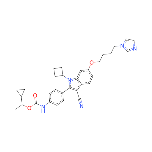 CC(OC(=O)Nc1ccc(-c2c(C#N)c3ccc(OCCCCn4ccnc4)cc3n2C2CCC2)cc1)C1CC1